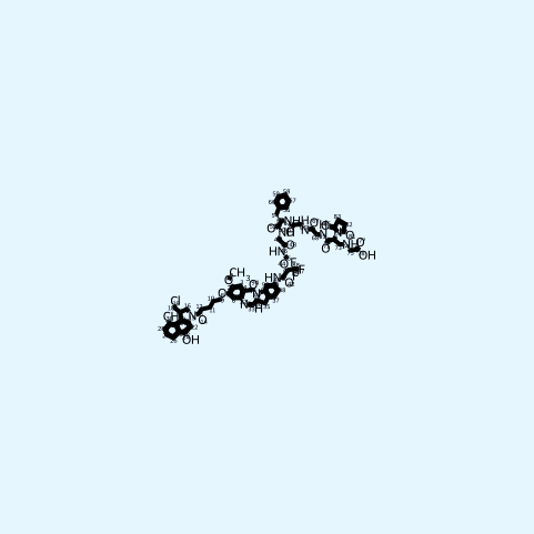 COc1cc2c(cc1OCCCCC(=O)N1CC(CCl)c3c1cc(O)c1cccc(C)c31)N=C[C@@H]1Cc3ccc(NC(=O)C(OCNC(=O)CNC(=O)[C@H](Cc4ccccc4)NC(=O)CNC(=O)CNC(=O)C(CNCC(=O)O)N4C(=O)C=CC4=O)C(F)(F)F)cc3N1C2=O